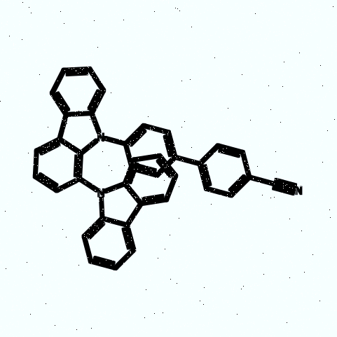 N#Cc1ccc(-c2ccc(-n3c4ccccc4c4cccc(-n5c6ccccc6c6ccccc65)c43)cc2)cc1